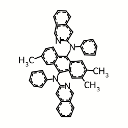 Cc1ccc2c(N(c3ccccc3)c3cc4ccccc4cn3)c3cc(C)c(C)cc3c(N(c3ccccc3)c3cc4ccccc4cn3)c2c1